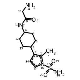 Cc1c(C2CCC(NC(=O)CN)CC2)ccn1S(N)(=O)=O